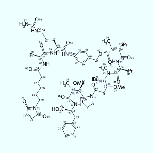 CC[C@@H](C)C([C@@H](CC(=O)N1CCC[C@H]1[C@H](OC)[C@@H](C)C(=O)N[C@@H](Cc1ccccc1)C(=O)O)OC)N(C)C(=O)[C@@H](NC(=O)C(C(C)C)N(C)C(=O)OCc1ccc(NC(=O)[C@H](CCCNC(N)=O)NC(=O)[C@@H](NC(=O)CCCCCN2C(=O)C=CC2=O)C(C)C)cc1)C(C)C